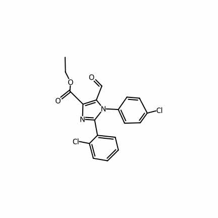 CCOC(=O)c1nc(-c2ccccc2Cl)n(-c2ccc(Cl)cc2)c1C=O